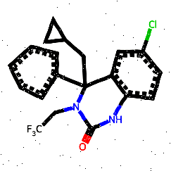 O=C1Nc2ccc(Cl)cc2C(CC2CC2)(c2ccccc2)N1CC(F)(F)F